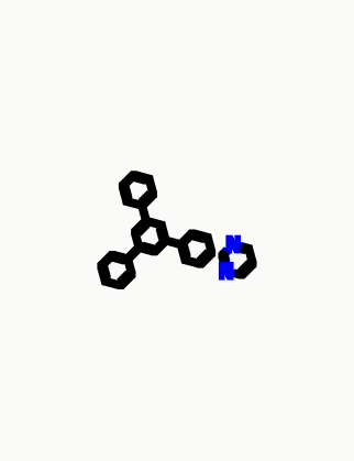 c1ccc(-c2cc(-c3ccccc3)cc(-c3ccccc3)c2)cc1.c1cncnc1